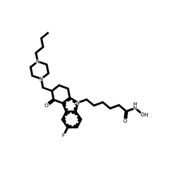 CCCCN1CCN(CC2CCc3c(c4cc(F)ccc4n3CCCCCC(=O)NO)C2=O)CC1